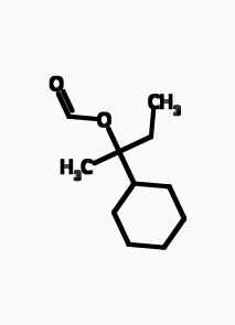 CCC(C)(OC=O)C1CCCCC1